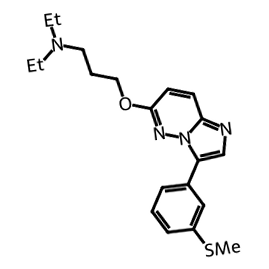 CCN(CC)CCCOc1ccc2ncc(-c3cccc(SC)c3)n2n1